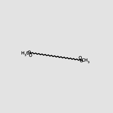 COC(=O)CCCCCCCCCCCCCCCCCCCCCCCCCCCCCCC(=O)OC